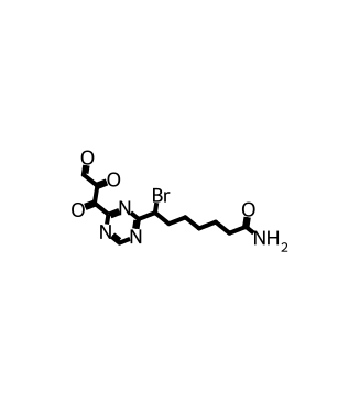 NC(=O)CCCCCC(Br)c1ncnc(C(=O)C(=O)C=O)n1